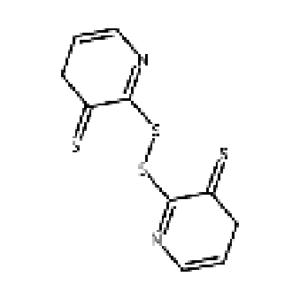 S=C1CC=CN=C1SSC1=NC=CCC1=S